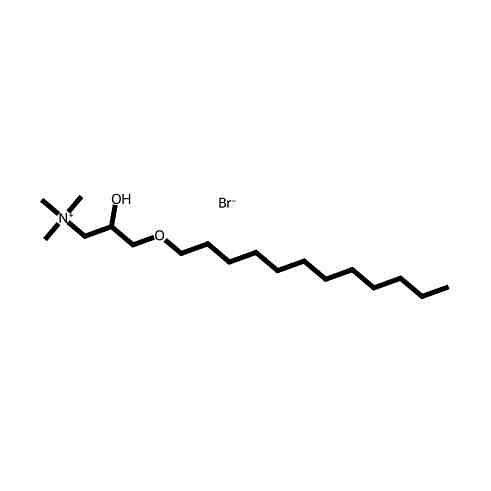 CCCCCCCCCCCCOCC(O)C[N+](C)(C)C.[Br-]